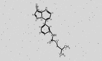 CC(C)COC(=O)Nc1cccc(-c2ccnc3c(Br)cnn23)c1